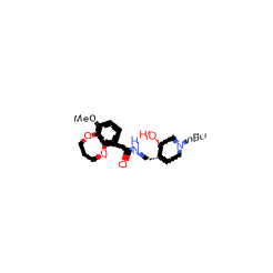 CCCCN1CC[C@H](CNC(=O)c2ccc(OC)c3c2OCCCO3)[C@H](O)C1